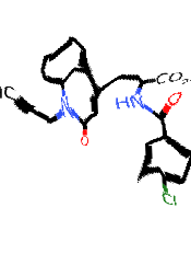 C#CCn1c(=O)cc(CC(NC(=O)c2ccc(Cl)cc2)C(=O)O)c2ccccc21